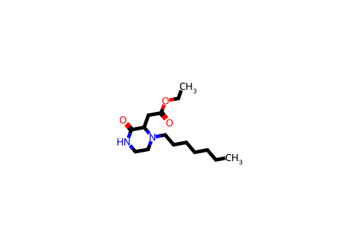 CCCCCCCN1CCNC(=O)C1CC(=O)OCC